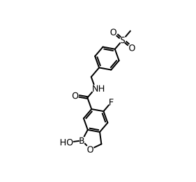 CS(=O)(=O)c1ccc(CNC(=O)c2cc3c(cc2F)COB3O)cc1